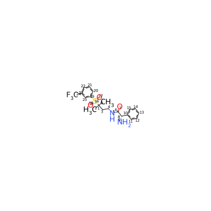 CC(C)(CCNC(=O)[C@@H](N)c1ccccc1)S(=O)(=O)c1cccc(C(F)(F)F)c1